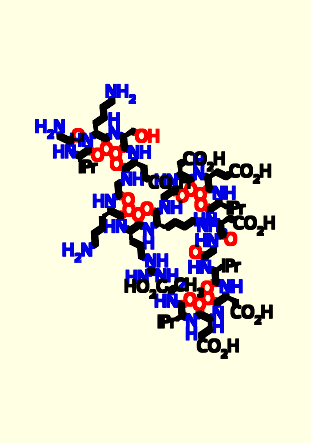 CC(C)[C@H](NC(=O)CN)C(=O)N[C@@H](CCCCN)C(=O)N[C@@H](CO)C(=O)N[C@@H](CCC(=O)O)C(=O)NCC(=O)N[C@@H](CCCCN)C(=O)N[C@@H](CCCNC(=N)N)C(=O)N[C@@H](CCCCN)C(=O)NCC(=O)N[C@@H](CC(=O)O)C(=O)N[C@@H](CCC(=O)O)C(=O)N[C@H](C(=O)N[C@@H](CC(=O)O)C(=O)NCC(=O)N[C@H](C(=O)N[C@@H](CC(=O)O)C(=O)N[C@@H](CCC(=O)O)C(=O)N[C@H](C(=O)N[C@@H](C)C(=O)O)C(C)C)C(C)C)C(C)C